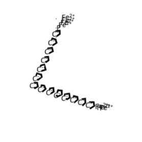 [Fe+2].[Fe+2].[Fe+2].[Fe+2].[Fe+2].[Fe+2].[Fe+2].[P].c1cc[cH-]c1.c1cc[cH-]c1.c1cc[cH-]c1.c1cc[cH-]c1.c1cc[cH-]c1.c1cc[cH-]c1.c1cc[cH-]c1.c1cc[cH-]c1.c1cc[cH-]c1.c1cc[cH-]c1.c1cc[cH-]c1.c1cc[cH-]c1.c1cc[cH-]c1.c1cc[cH-]c1